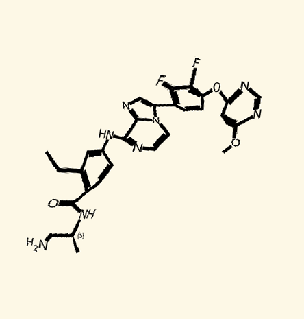 CCc1cc(Nc2nccn3c(-c4ccc(Oc5cc(OC)ncn5)c(F)c4F)cnc23)ccc1C(=O)N[C@@H](C)CN